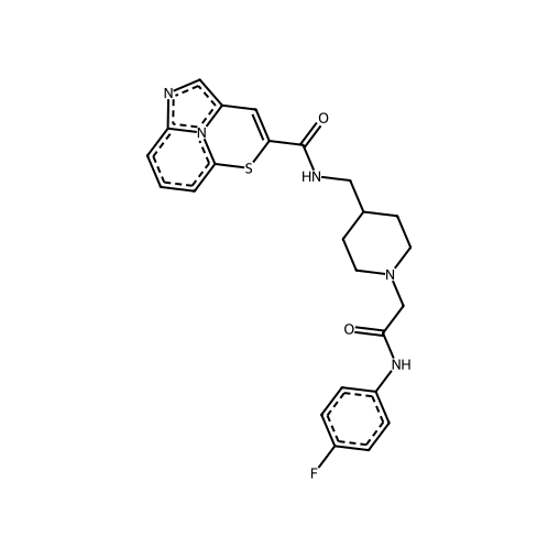 O=C(CN1CCC(CNC(=O)C2=Cc3cnc4cccc(n34)S2)CC1)Nc1ccc(F)cc1